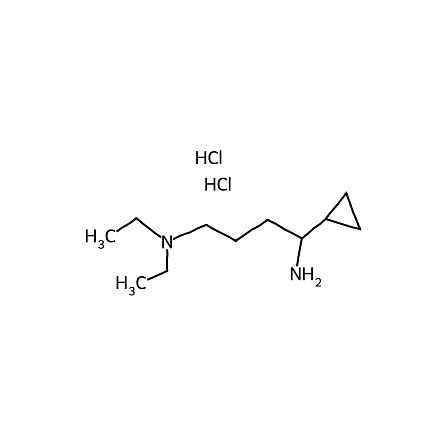 CCN(CC)CCCC(N)C1CC1.Cl.Cl